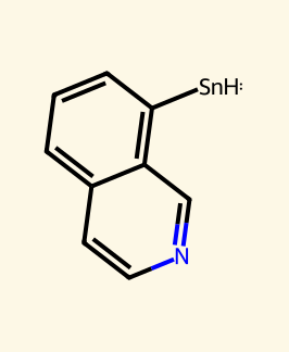 [SnH][c]1cccc2ccncc12